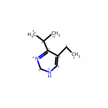 CCC1=CNCN=C1C(C)C